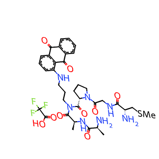 CSC[C@H](N)C(=O)NCC(=O)N1CCC[C@H]1C(=O)N(CCCNc1cccc2c1C(=O)c1ccccc1C2=O)C(=O)[C@H](C)NC(=O)[C@H](C)N.O=C(O)C(F)(F)F